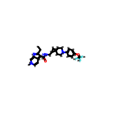 CCc1nc2cn(C)ccc-2c1C(=O)NCC1CC12CCN(c1ccc(OC(F)(F)F)cc1)CC2